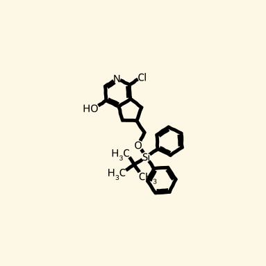 CC(C)(C)[Si](OCC1Cc2c(O)cnc(Cl)c2C1)(c1ccccc1)c1ccccc1